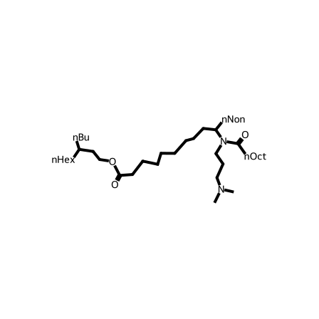 CCCCCCCCCC(CCCCCCCCC(=O)OCCC(CCCC)CCCCCC)N(CCCN(C)C)C(=O)CCCCCCCC